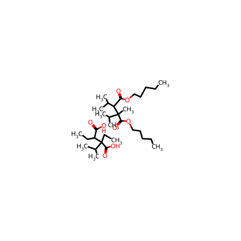 CCC(C(=O)O)C(CC)(C(=O)O)C(C)C.CCCCCOC(=O)C(C(C)C)C(C)(C(=O)OCCCCC)C(C)C